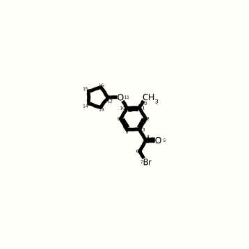 Cc1cc(C(=O)CBr)ccc1OC1CCCC1